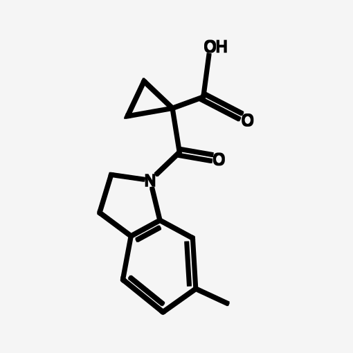 Cc1ccc2c(c1)N(C(=O)C1(C(=O)O)CC1)CC2